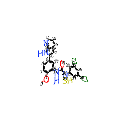 COc1ccc(-c2cc3cccnc3[nH]2)cc1NC(=O)N(S)c1cc(Cl)cc(Cl)c1